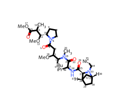 CCC(C)C(C(CC(=O)N1CCC[C@H]1C(OC)C(C)C(=O)OC)OC)N(C)C(=O)C(NC(=O)[C@@H]1[C@H]2CC[C@H](C2)N1CC#N)C(C)C